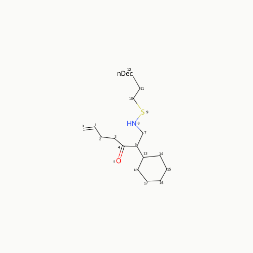 C=CCCC(=O)C(CNSCCCCCCCCCCCC)C1CCCCC1